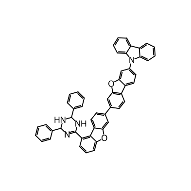 c1ccc(C2N=C(c3cccc4oc5cc(-c6ccc7c(c6)oc6cc(-n8c9ccccc9c9ccccc98)ccc67)ccc5c34)NC(c3ccccc3)N2)cc1